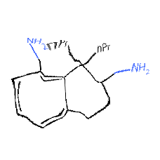 CCCC1(CCC)c2c(N)cccc2CCC1N